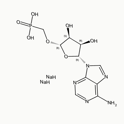 Nc1ncnc2c1ncn2[C@@H]1O[C@H](OCP(=O)(O)O)[C@@H](O)[C@H]1O.[NaH].[NaH]